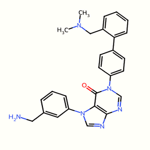 CN(C)Cc1ccccc1-c1ccc(-n2cnc3ncn(-c4cccc(CN)c4)c3c2=O)cc1